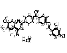 COc1cc2nc(N3CCN(C(=O)c4ccc(OCc5ccc(Cl)cc5Cl)cc4)CC3)nc(N)c2cc1OC.Cl.O